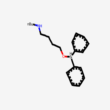 CCCCNCCCCO[SiH](c1ccccc1)c1ccccc1